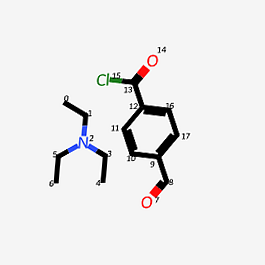 CCN(CC)CC.O=Cc1ccc(C(=O)Cl)cc1